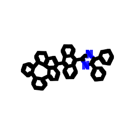 c1ccc(-c2ncc(-c3c4ccccc4c(-c4cc5cccc6c7ccccc7c7ccccc7c7cccc4c7c56)c4ccccc34)nc2-c2ccccc2)cc1